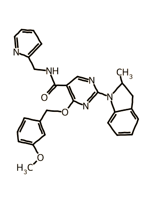 COc1cccc(COc2nc(N3c4ccccc4CC3C)ncc2C(=O)NCc2ccccn2)c1